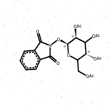 CC(=O)OCC1O[C@@H](ON2C(=O)c3ccccc3C2=O)[C@@H](OC(C)=O)C(OC(C)=O)[C@@H]1OC(C)=O